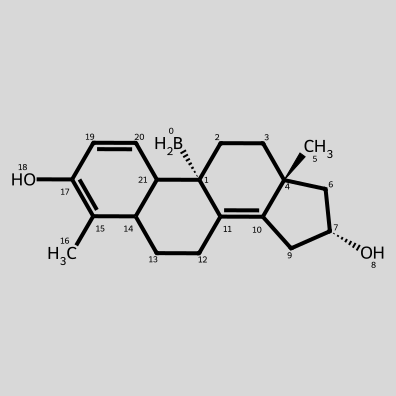 B[C@]12CC[C@]3(C)C[C@H](O)CC3=C1CCC1C(C)=C(O)C=CC12